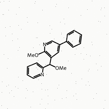 COc1ncc(-c2ccccc2)cc1C(OC)c1ccccn1